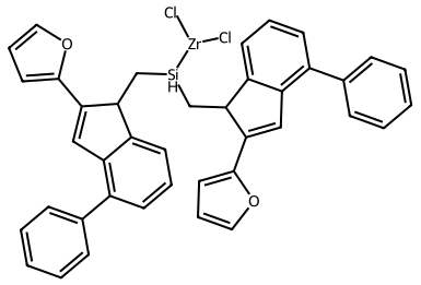 [Cl][Zr]([Cl])[SiH](CC1C(c2ccco2)=Cc2c(-c3ccccc3)cccc21)CC1C(c2ccco2)=Cc2c(-c3ccccc3)cccc21